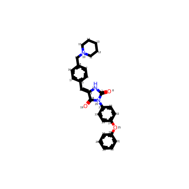 O=C1N/C(=C\c2ccc(CN3CCCCC3)cc2)C(=O)N1c1ccc(Oc2ccccc2)cc1